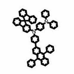 c1ccc(-c2c3ccccc3c(-c3ccccc3)c3cc(-c4ccc(N(c5ccc(N(c6ccccc6)c6ccccc6)cc5)c5ccc6c(c5)C5(c7ccccc7-c7ccccc75)c5ccccc5-6)cc4)ccc23)cc1